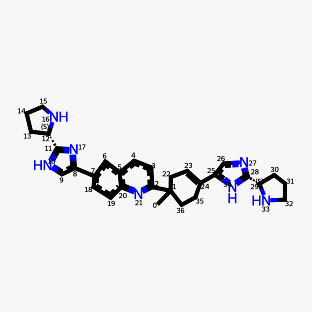 CC1(c2ccc3cc(-c4c[nH]c([C@@H]5CCCN5)n4)ccc3n2)CC=C(c2cnc([C@@H]3CCCN3)[nH]2)CC1